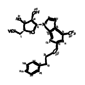 OC[C@H]1O[C@@H](n2cnc3c(C(F)(F)F)nc(OCCc4ccccc4)nc32)[C@H](O)[C@@H]1O